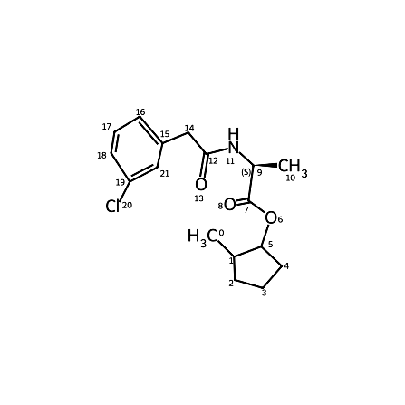 CC1CCCC1OC(=O)[C@H](C)NC(=O)Cc1cccc(Cl)c1